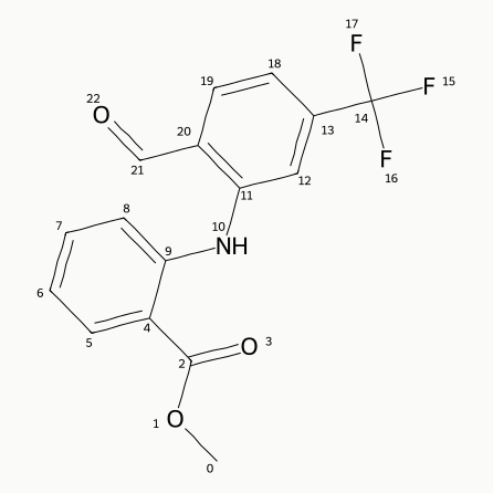 COC(=O)c1ccccc1Nc1cc(C(F)(F)F)ccc1C=O